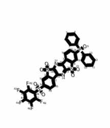 O=P(c1ccccc1)(c1ccccc1)c1ccc2c(c1)S(=O)(=O)c1nc3c(nc1-2)S(=O)(=O)c1cc(S(=O)(=O)c2c(F)c(F)c(F)c(F)c2F)ccc1-3